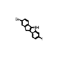 Brc1ccc2c(c1)Cc1c-2[nH]c2cc(I)ccc12